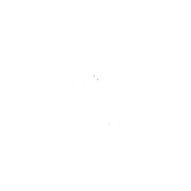 Cc1cc(C)cc(C(=O)N=C=O)c1